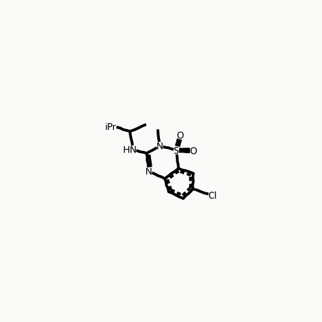 CC(C)C(C)NC1=Nc2ccc(Cl)cc2S(=O)(=O)N1C